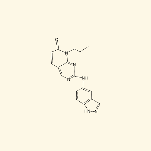 CCCn1c(=O)ccc2cnc(Nc3ccc4[nH]ncc4c3)nc21